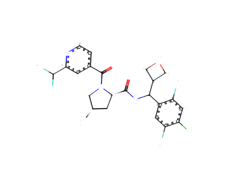 CC[C@@H]1C[C@H](C(=O)NC(c2cc(F)c(Cl)cc2F)C2COC2)N(C(=O)c2ccnc(C(F)F)c2)C1